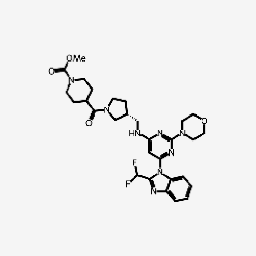 COC(=O)N1CCC(C(=O)N2CC[C@H](CNc3cc(-n4c(C(F)F)nc5ccccc54)nc(N4CCOCC4)n3)C2)CC1